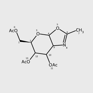 CC(=O)OC[C@H]1OC2OC(C)=NC2C(OC(C)=O)C1OC(C)=O